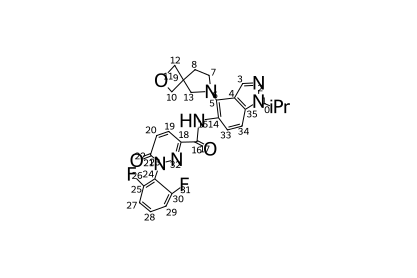 CC(C)n1ncc2c(N3CCC4(COC4)C3)c(NC(=O)c3ccc(=O)n(-c4c(F)cccc4F)n3)ccc21